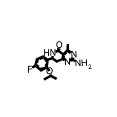 Cc1nc(N)nc2c1C(=O)NC(c1ccc(F)cc1OC(C)C)C2